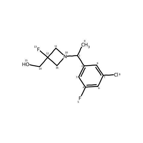 CC(c1cc(F)cc(Cl)c1)N1CC(F)(CO)C1